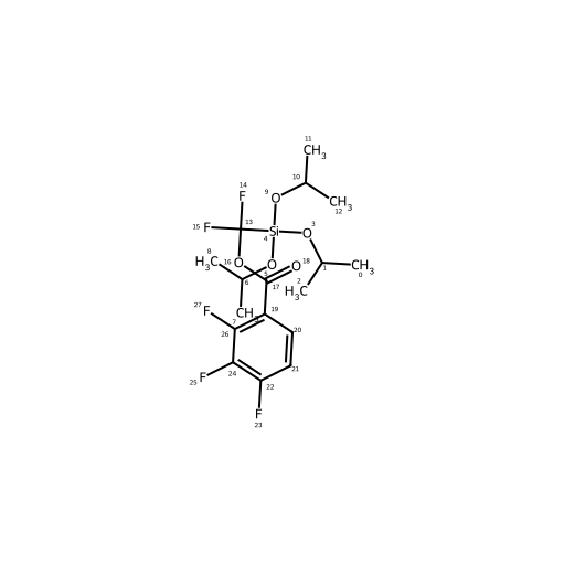 CC(C)O[Si](OC(C)C)(OC(C)C)C(F)(F)OC(=O)c1ccc(F)c(F)c1F